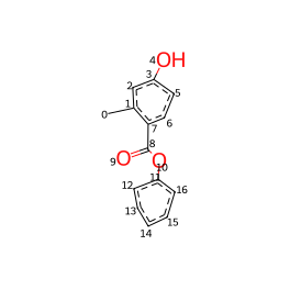 Cc1cc(O)ccc1C(=O)Oc1ccccc1